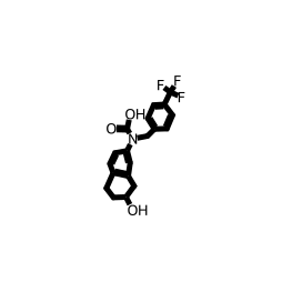 O=C(O)N(Cc1ccc(C(F)(F)F)cc1)c1ccc2c(c1)CC(O)CC2